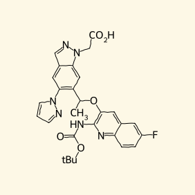 CC(Oc1cc2cc(F)ccc2nc1NC(=O)OC(C)(C)C)c1cc2c(cnn2CC(=O)O)cc1-n1cccn1